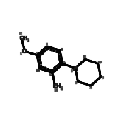 COc1ccc(N2CCCCC2)c(C)c1